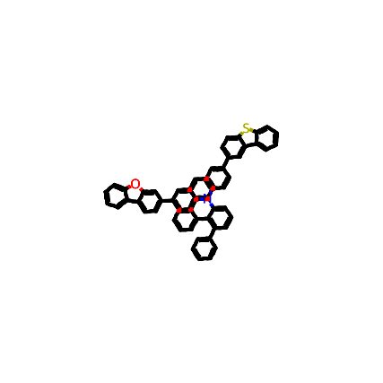 c1ccc(-c2ccccc2-c2c(-c3ccccc3)cccc2N(c2ccc(-c3ccc4c(c3)oc3ccccc34)cc2)c2ccc(-c3ccc4sc5ccccc5c4c3)cc2)cc1